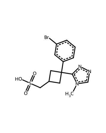 Cn1cnnc1C1(c2cccc(Br)c2)CC(CS(=O)(=O)O)C1